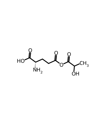 CC(O)C(=O)OC(=O)CC[C@H](N)C(=O)O